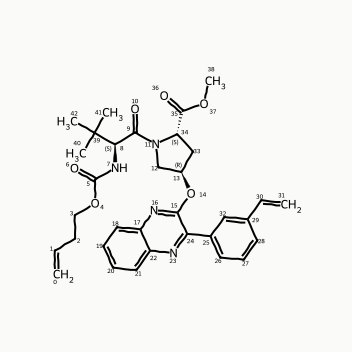 C=CCCOC(=O)N[C@H](C(=O)N1C[C@H](Oc2nc3ccccc3nc2-c2cccc(C=C)c2)C[C@H]1C(=O)OC)C(C)(C)C